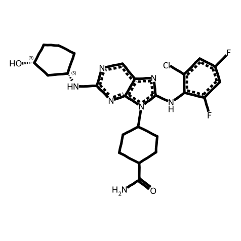 NC(=O)C1CCC(n2c(Nc3c(F)cc(F)cc3Cl)nc3cnc(N[C@H]4CCC[C@@H](O)C4)nc32)CC1